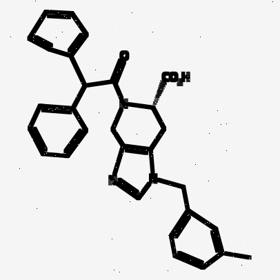 Cc1cccc(Cn2cnc3c2C[C@@H](C(=O)O)N(C(=O)C(c2ccccc2)c2ccccc2)C3)c1